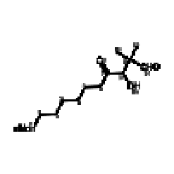 CCCCCCCCCCCCCCCC(=O)C(O)C(C)(C)C=O